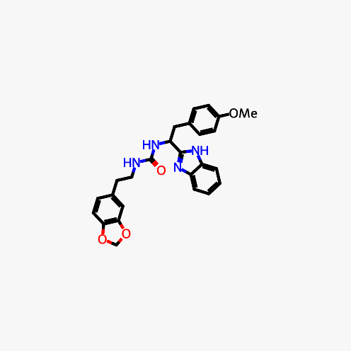 COc1ccc(CC(NC(=O)NCCc2ccc3c(c2)OCO3)c2nc3ccccc3[nH]2)cc1